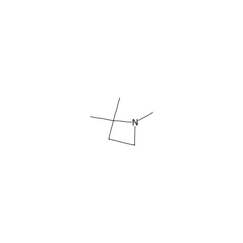 CN1CCC1(C)C